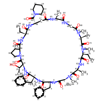 CC[C@H](C)[C@H]1C(=O)N[C@@H](Cc2ccccc2)C(=O)N(C)[C@@H](Cc2ccccc2)C(=O)N[C@@H]([C@@H](C)O)C(=O)N2CCC[C@H]2C(=O)N[C@@H](CC(C)C)C(=O)N[C@H](C(=O)N2CCCCC2)CC(=O)N[C@@H](C)C(=O)NCC(=O)N(C)[C@@H](C(C)C)C(=O)N(C)[C@@H](CC(C)C)C(=O)N[C@@H](C)C(=O)N1C